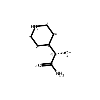 NC(=O)[C@@H](O)C1CCNCC1